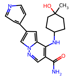 CC1(O)CCC(Nc2c(C(N)=O)cnn3cc(-c4ccncc4)cc23)CC1